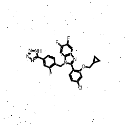 Fc1cc2nc(-c3ccc(Cl)cc3OCC3CC3)n(Cc3ccc(-c4nnn[nH]4)cc3F)c2cc1F